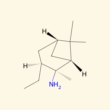 CC[C@H]1C[C@H]2C[C@H](C2(C)C)[C@@]1(C)N